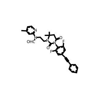 Cc1ccnc(N(C=O)CCN2C(=O)N(c3c(F)cc(C#Cc4ccccc4)cc3F)C(=O)CC2(C)C)c1